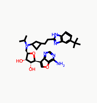 CC(C)N(C[C@H]1O[C@@H](c2coc3c(N)ncnc23)[C@H](O)[C@@H]1O)C1CC(CCc2nc3cc(C(C)(C)C)ccc3[nH]2)C1